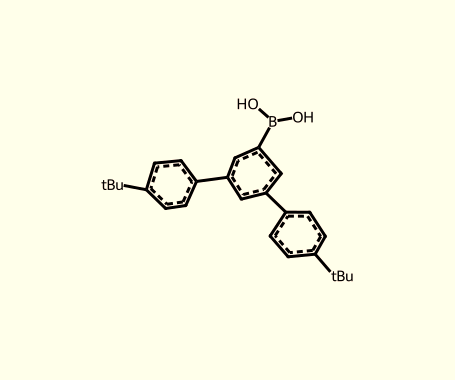 CC(C)(C)c1ccc(-c2cc(B(O)O)cc(-c3ccc(C(C)(C)C)cc3)c2)cc1